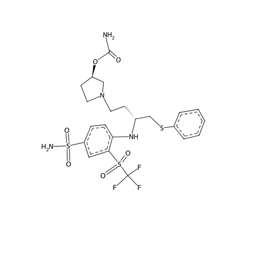 NC(=O)O[C@@H]1CCN(CC[C@H](CSc2ccccc2)Nc2ccc(S(N)(=O)=O)cc2S(=O)(=O)C(F)(F)F)C1